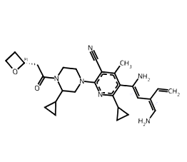 C=CC(=C/N)/C=C(\N)c1c(C2CC2)nc(N2CCN(C(=O)C[C@H]3CCO3)C(C3CC3)C2)c(C#N)c1C